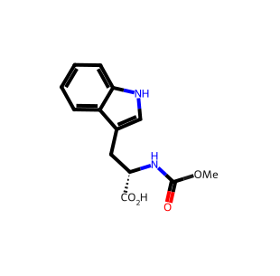 COC(=O)N[C@@H](Cc1c[nH]c2ccccc12)C(=O)O